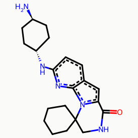 N[C@H]1CC[C@H](Nc2ccc3cc4n(c3n2)C2(CCCCC2)CNC4=O)CC1